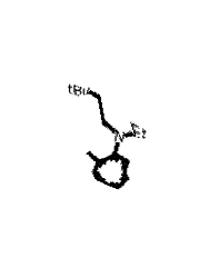 CCN(CCC(C)(C)C)c1ccccc1C